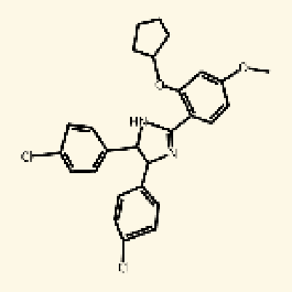 COc1ccc(C2=NC(c3ccc(Cl)cc3)C(c3ccc(Cl)cc3)N2)c(OC2CCCC2)c1